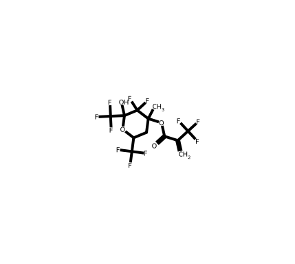 C=C(C(=O)OC1(C)CC(C(F)(F)F)OC(O)(C(F)(F)F)C1(F)F)C(F)(F)F